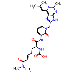 CC(C)=Cc1nc(C)nc2[nH]c(Cn3cccc(NC(=O)C(CCC=CC(=O)N(C)C)NC(=O)O)c3=O)nc12